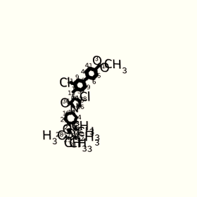 COC(=O)c1ccc(-c2cc(Cl)c(C[C@@H]3CCN([C@H]4CC[C@H](O[Si](C(C)C)(C(C)C)C(C)C)CC4)C3=O)c(Cl)c2)cc1